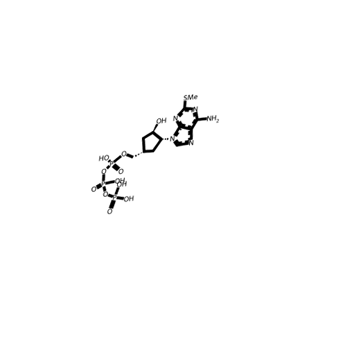 CSc1nc(N)c2ncn([C@@H]3C[C@H](COP(=O)(O)OP(=O)(O)OP(=O)(O)O)C[C@H]3O)c2n1